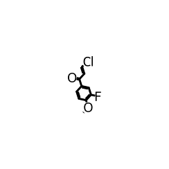 COc1ccc(C(=O)C=CCl)cc1F